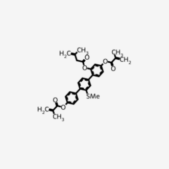 C=C(C)CC(=O)Oc1cc(OC(=O)C(=C)C)ccc1-c1ccc(-c2ccc(OC(=O)C(=C)C)cc2)c(SC)c1